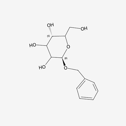 OCC1O[C@@H](OCc2ccccc2)C(O)C(O)[C@@H]1O